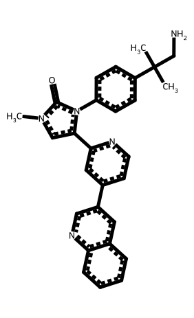 Cn1cc(-c2cc(-c3cnc4ccccc4c3)ccn2)n(-c2ccc(C(C)(C)CN)cc2)c1=O